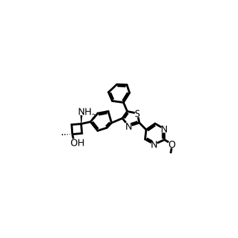 COc1ncc(-c2nc(-c3ccc([C@]4(N)C[C@@](C)(O)C4)cc3)c(-c3ccccc3)s2)cn1